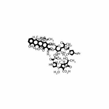 CCC[C@@H]1C[C@@H](C(=O)N[C@@H]([C@H]2O[C@H](SC)[C@H](O)[C@@H](O)[C@H]2O)[C@H](C)Cl)N(C)C1.C[C@@H](O)[C@H]1C(=O)N2C(C(=O)O)=C(S[C@@H]3CN[C@H](C(=O)N(C)C)C3)[C@H](C)[C@H]12.C[C@H]1c2cccc(O)c2C(=O)C2=C(O)[C@]3(O)C(=O)C(C(N)=O)=C(O)[C@@H](N(C)C)[C@@H]3[C@@H](O)[C@@H]21.O